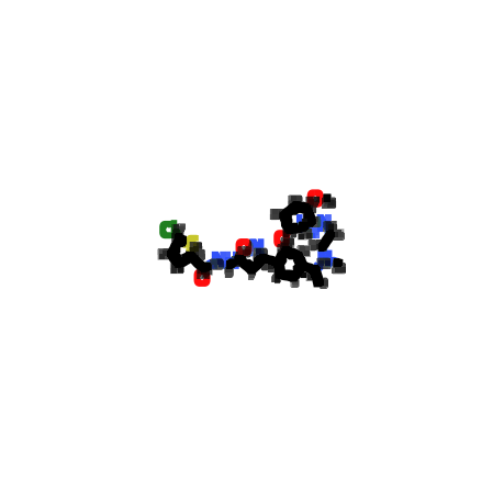 C=C(c1ccc(-c2cc(CNC(=O)c3ccc(Cl)s3)on2)c(Oc2ccc(OC)cc2)c1)N(C)CCN